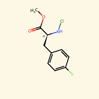 COC(=O)[C@H](Cc1ccc(F)cc1)NCl